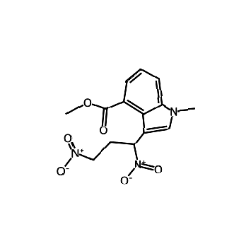 COC(=O)c1cccc2c1c(C(CC[N+](=O)[O-])[N+](=O)[O-])cn2C